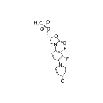 CS(=O)(=O)OC[C@H]1CN(c2ccc(N3C=CC(=O)CC3)c(F)c2F)C(=O)O1